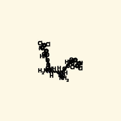 CN1Cc2c(Cl)cc(Cl)cc2[C@@H](c2cccc(S(=O)(=O)NCCOCCOCCN/C(=N\C(N)=O)NCCCCN/C(=N/C(N)=O)NCCOCCOCCNS(=O)(=O)c3cccc([C@@H]4CN(C)Cc5c(Cl)cc(Cl)cc54)c3)c2)C1